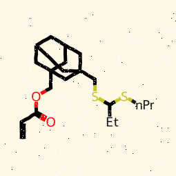 C=CC(=O)OCC12CC3CC(C1)CC(CSC(CC)SCCC)(C3)C2